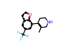 CC1=C(c2cc(C(F)(F)F)cc3ccoc23)CCNC1